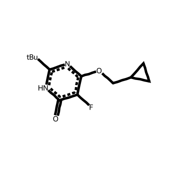 CC(C)(C)c1nc(OCC2CC2)c(F)c(=O)[nH]1